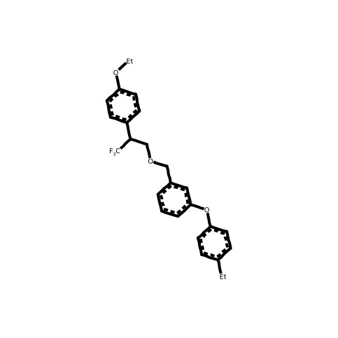 CCOc1ccc(C(COCc2cccc(Oc3ccc(CC)cc3)c2)C(F)(F)F)cc1